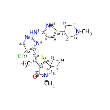 Cc1c(-c2nc(Nc3ccc(C4CCN(C)CC4)cn3)ncc2Cl)sc2c1C(=O)N(C)CC21CCC1